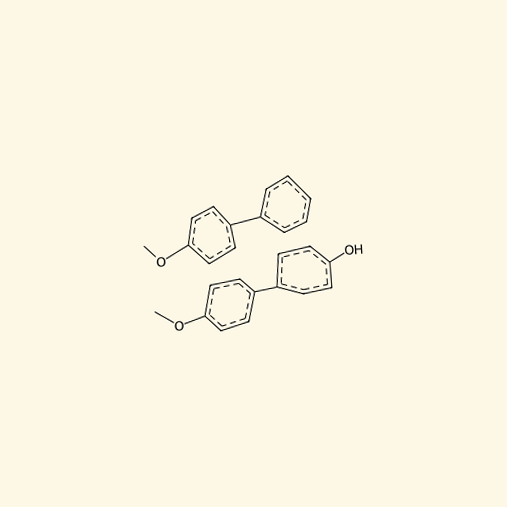 COc1ccc(-c2ccc(O)cc2)cc1.COc1ccc(-c2ccccc2)cc1